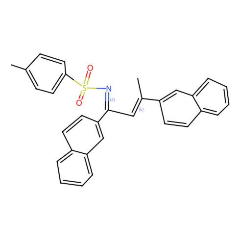 C/C(=C\C(=N\S(=O)(=O)c1ccc(C)cc1)c1ccc2ccccc2c1)c1ccc2ccccc2c1